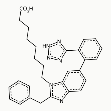 O=C(O)CCCCCCCn1c(Cc2ccccc2)nc2ccc(-c3ccccc3-c3nn[nH]n3)cc21